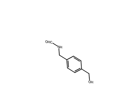 O=CNCc1ccc(CO)cc1